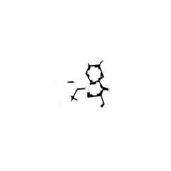 CC(C)(C)[C@@H](CO)n1cc(C=O)c(=O)c2cc(I)c(F)cc21